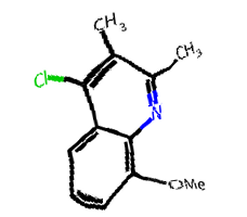 COc1cccc2c(Cl)c(C)c(C)nc12